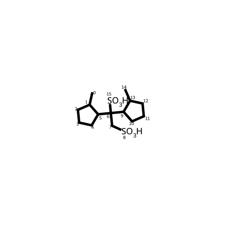 CC1CCCC1C(CS(=O)(=O)O)(C1CCCC1C)S(=O)(=O)O